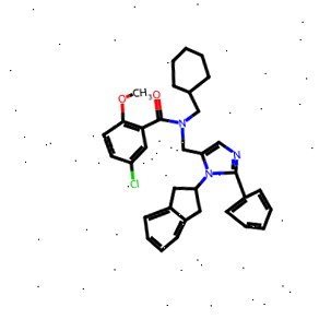 COc1ccc(Cl)cc1C(=O)N(Cc1cnc(-c2ccccc2)n1C1Cc2ccccc2C1)CC1CCCCC1